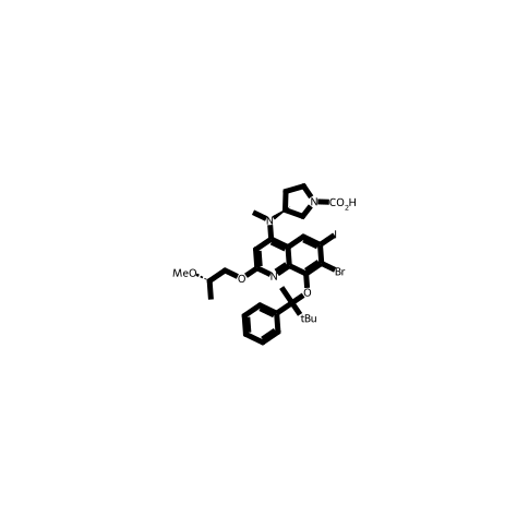 CO[C@@H](C)COc1cc(N(C)[C@H]2CCN(C(=O)O)C2)c2cc(I)c(Br)c(OC(C)(c3ccccc3)C(C)(C)C)c2n1